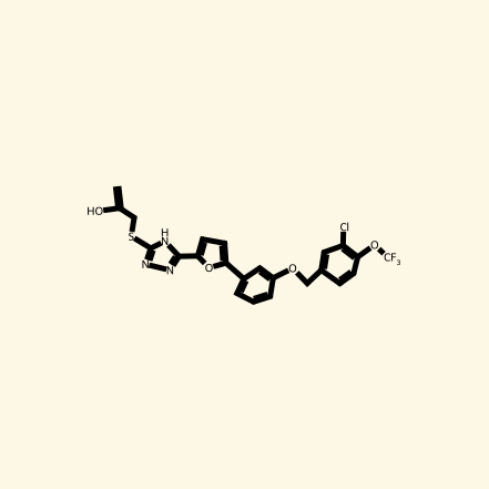 C=C(O)CSc1nnc(-c2ccc(-c3cccc(OCc4ccc(OC(F)(F)F)c(Cl)c4)c3)o2)[nH]1